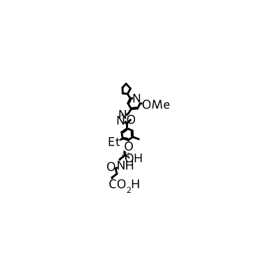 CCc1cc(-c2nnc(-c3cc(OC)nc(C4CCCC4)c3)o2)cc(C)c1OC[C@@H](O)CNC(=O)CCC(=O)O